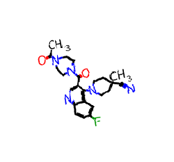 CC(=O)N1CCN(C(=O)c2cnc3ccc(F)cc3c2N2CCC(C)(C#N)CC2)CC1